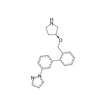 c1cc(-c2ccccc2CO[C@H]2CCNC2)cc(-n2cccn2)c1